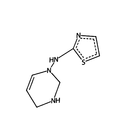 C1=CN(Nc2nccs2)CNC1